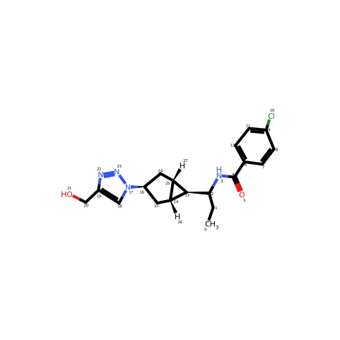 CCC(NC(=O)c1ccc(Cl)cc1)[C@H]1[C@@H]2C[C@@H](n3cc(CO)nn3)C[C@@H]21